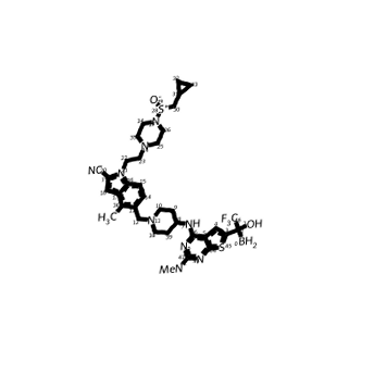 BC(O)(c1cc2c(NC3CCN(Cc4ccc5c(cc(C#N)n5CCN5CCN([S+]([O-])CC6CC6)CC5)c4C)CC3)nc(NC)nc2s1)C(F)(F)F